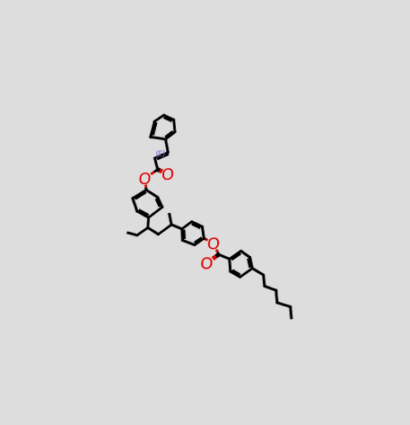 CCCCCCc1ccc(C(=O)Oc2ccc(C(C)CC(CC)c3ccc(OC(=O)/C=C/c4ccccc4)cc3)cc2)cc1